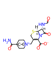 NC(=O)C12CC[N+](CC3=C(C(=O)[O-])N4C(=O)[C@@H](NC=O)[C@@H]4SC3)(CC1)CC2